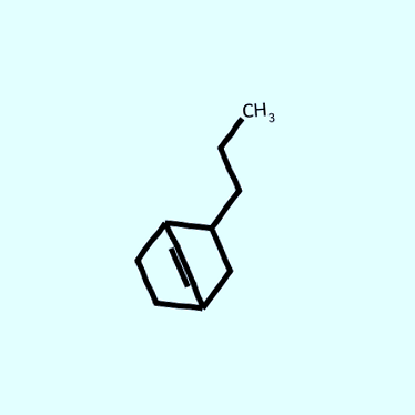 CCCC1CC2C=CC1CC2